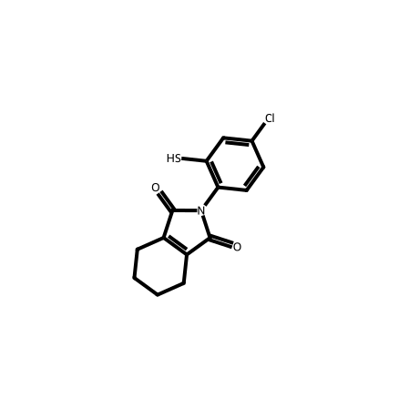 O=C1C2=C(CCCC2)C(=O)N1c1ccc(Cl)cc1S